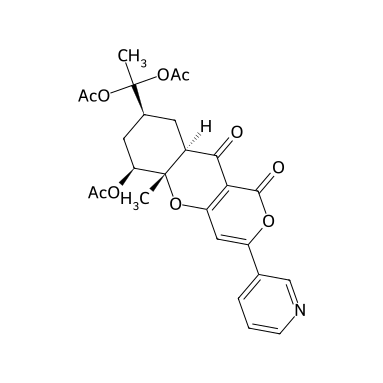 CC(=O)O[C@H]1C[C@@H](C(C)(OC(C)=O)OC(C)=O)C[C@H]2C(=O)c3c(cc(-c4cccnc4)oc3=O)O[C@]12C